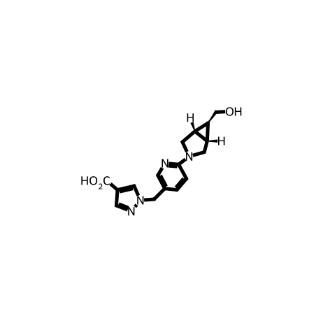 O=C(O)c1cnn(Cc2ccc(N3C[C@@H]4[C@@H](CO)[C@@H]4C3)nc2)c1